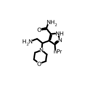 CCCc1n[nH]c(C(N)=O)c1C(CN)N1CCOCC1